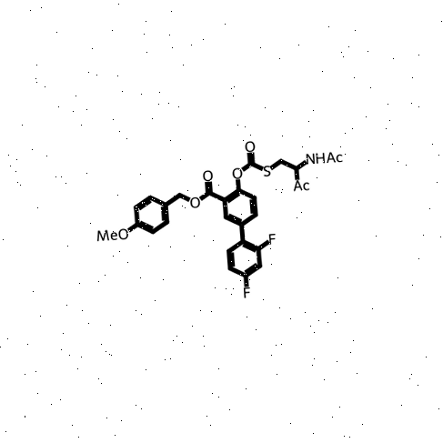 COc1ccc(COC(=O)c2cc(-c3ccc(F)cc3F)ccc2OC(=O)SCC(NC(C)=O)C(C)=O)cc1